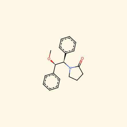 CO[C@H](c1ccccc1)[C@@H](c1ccccc1)N1CCCC1=O